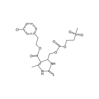 CC1=C(C(=O)OCCc2cccc(Cl)c2)C(COC(=O)OCCS(C)(=O)=O)NC(=S)N1